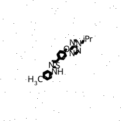 Cc1ccc(Nc2ncc(-c3ccc(Oc4ncnc5c4ncn5CC(C)C)cc3)s2)cc1